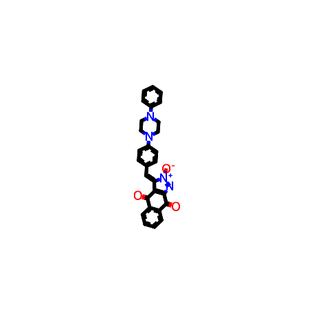 O=C1C2=C(C(=O)c3ccccc31)/C(=C/c1ccc(N3CCN(c4ccccc4)CC3)cc1)[N+]([O-])=N2